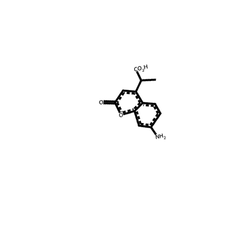 CC(C(=O)O)c1cc(=O)oc2cc(N)ccc12